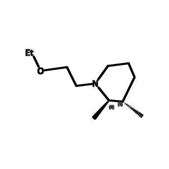 CCOCCN1CCC[C@H](C)[C@H]1C